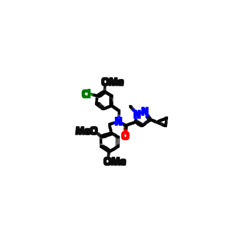 COc1ccc(CN(Cc2ccc(Cl)c(OC)c2)C(=O)c2cc(C3CC3)nn2C)c(OC)c1